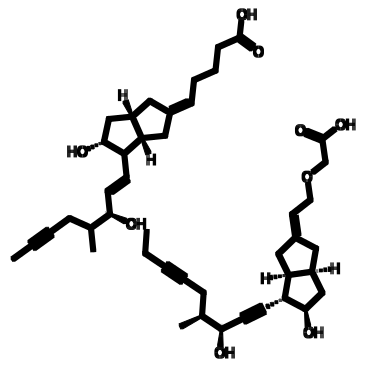 CC#CCC(C)[C@H](O)/C=C/C1[C@H](O)C[C@@H]2C/C(=C\CCCC(=O)O)C[C@H]12.CCC#CC[C@H](C)[C@H](O)C#C[C@@H]1[C@H]2C/C(=C/COCC(=O)O)C[C@H]2C[C@H]1O